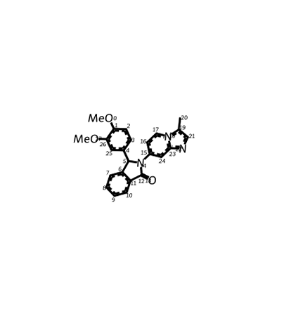 COc1ccc(C2c3ccccc3C(=O)N2c2ccn3c(C)cnc3c2)cc1OC